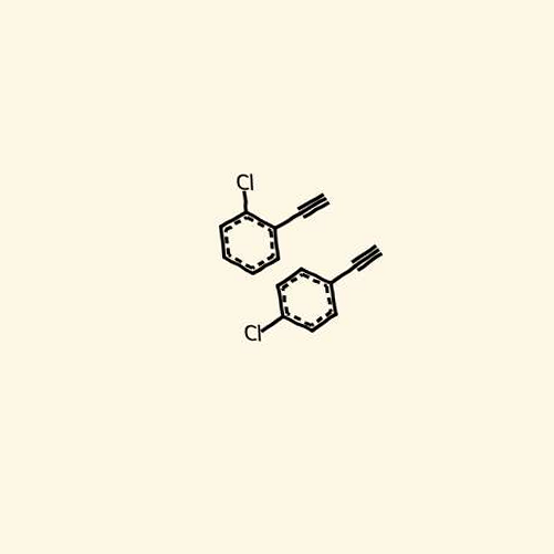 C#Cc1ccc(Cl)cc1.C#Cc1ccccc1Cl